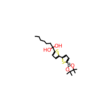 CCCCCCC(O)(O)c1ccc(-c2ccc(B3OC(C)(C)C(C)(C)O3)s2)s1